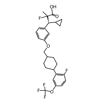 CC(F)(C(=O)O)[C@H](c1cccc(OCC2CCC(c3cc(OC(F)(F)F)ccc3F)CC2)c1)C1CC1